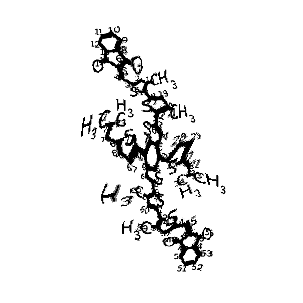 Cc1cc(C=C2C(=O)c3ccccc3C2=O)sc1-c1cc(C)c(-c2cc3c(-c4ccc(CC(C)C)s4)c4sc(-c5sc(-c6sc(C=C7C(=O)c8ccccc8C7=O)cc6C)cc5C)cc4c(-c4ccc(CC(C)C)s4)c3s2)s1